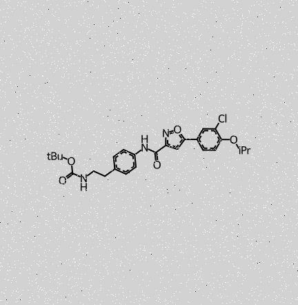 CC(C)Oc1ccc(-c2cc(C(=O)Nc3ccc(CCNC(=O)OC(C)(C)C)cc3)no2)cc1Cl